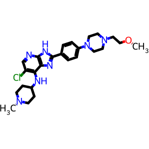 COCCN1CCN(c2ccc(-c3nc4c(NC5CCN(C)CC5)c(Cl)cnc4[nH]3)cc2)CC1